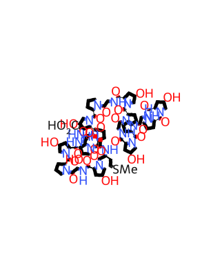 CSCC[C@H](NC(=O)CNC(=O)[C@@H]1C[C@@H](O)CN1C(=O)[C@@H]1CCCN1C(=O)CNC(=O)[C@@H]1C[C@@H](O)CN1C(=O)[C@@H]1CCCN1C(=O)CNC(=O)[C@@H]1C[C@@H](O)CN1C(=O)[C@@H]1CCCN1C(=O)CNC(=O)[C@@H]1C[C@@H](O)CN1C(=O)[C@@H]1CCCN1)C(=O)N1C[C@H](O)C[C@H]1C(=O)NCC(=O)N1CCC[C@H]1C(=O)N1C[C@H](O)C[C@H]1C(=O)NCC(=O)N1CCC[C@H]1C(=O)N1C[C@H](O)C[C@H]1C(=O)NCC(=O)O